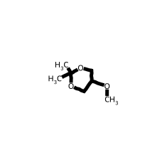 COC1COC(C)(C)OC1